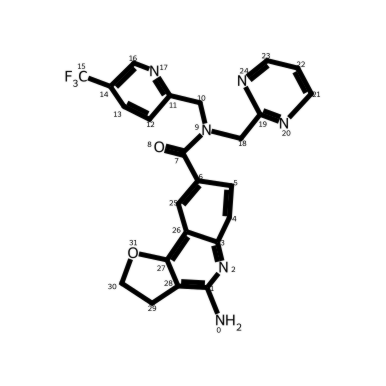 Nc1nc2ccc(C(=O)N(Cc3ccc(C(F)(F)F)cn3)Cc3ncccn3)cc2c2c1CCO2